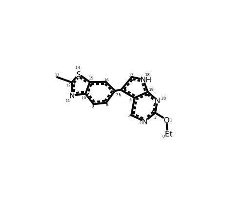 CCOc1ncc2c(-c3ccc4nc(C)sc4c3)c[nH]c2n1